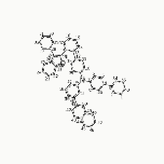 c1ccc(-c2ccc(N(c3ccc(-c4ccccc4-c4oc5ccccc5c4-c4ccccc4)cc3)c3cccc(-c4ccc5ccccc5c4)c3)cc2)cc1